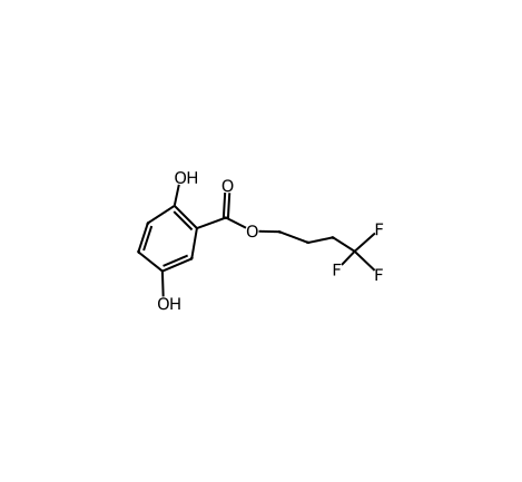 O=C(OCCCC(F)(F)F)c1cc(O)ccc1O